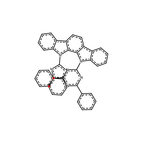 c1ccc(-c2nc(-c3ccccc3)nc(-n3c4ccccc4c4ccc5c6ccccc6n(-c6nc7ccccc7s6)c5c43)n2)cc1